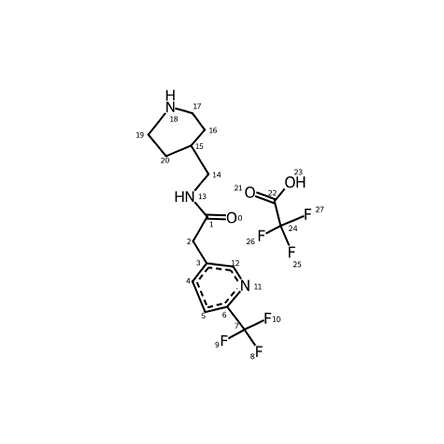 O=C(Cc1ccc(C(F)(F)F)nc1)NCC1CCNCC1.O=C(O)C(F)(F)F